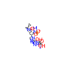 C[C@@H](C1CC1)N1Cc2cc(-c3ccn4nc(N)c(C(O)N[C@@H]5COC[C@H]5O)c4n3)cc(NS(C)(=O)=O)c2C1=O